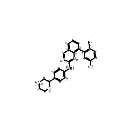 Fc1ccc(Cl)cc1-c1cccc2cnc(Nc3ccc(C4CNCCO4)cc3)nc12